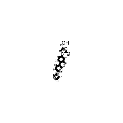 O=C1O[C@@H](CO)CN1c1ccc(-c2ccc(-n3ccnn3)nc2)c(F)c1